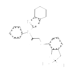 CC1(C)Cc2cccc(OCC(=O)N(c3ccccc3)c3nc4c(s3)CCCC4)c2O1